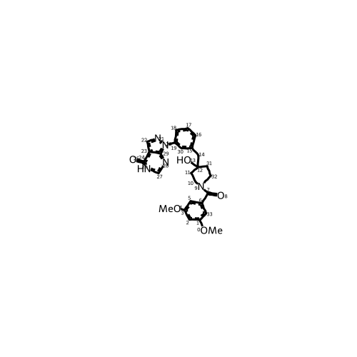 COc1cc(OC)cc(C(=O)N2CCC(O)(Cc3cccc(-n4ncc5c(=O)[nH]cnc54)c3)CC2)c1